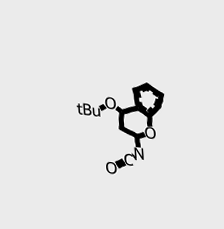 CC(C)(C)OC1CC(N=C=O)Oc2ccccc21